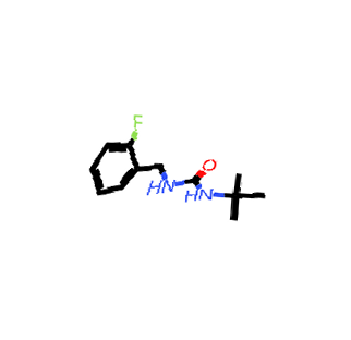 CC(C)(C)NC(=O)NCc1ccccc1F